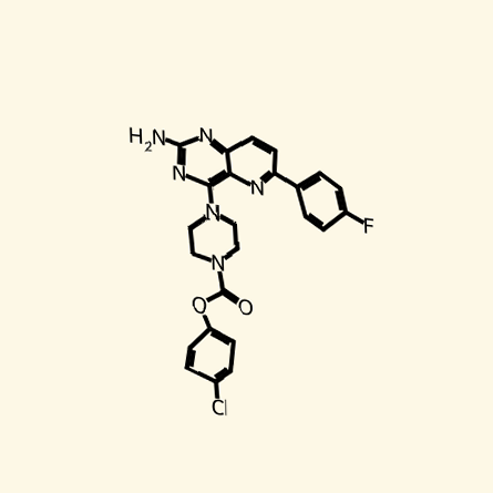 Nc1nc(N2CCN(C(=O)Oc3ccc(Cl)cc3)CC2)c2nc(-c3ccc(F)cc3)ccc2n1